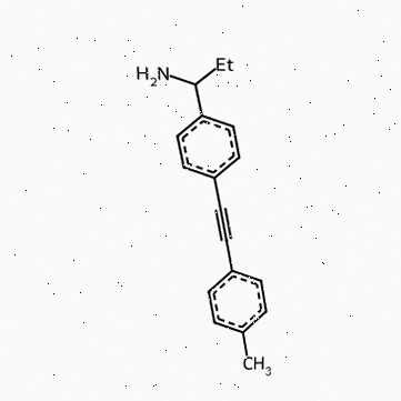 CCC(N)c1ccc(C#Cc2ccc(C)cc2)cc1